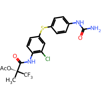 CC(=O)O[C@](C)(C(=O)Nc1ccc(Sc2ccc(NC(N)=O)cc2)cc1Cl)C(F)(F)F